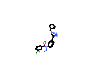 O=C(Nc1cccc(-c2cn(Cc3ccccc3)nn2)c1)c1cccc(Cl)c1